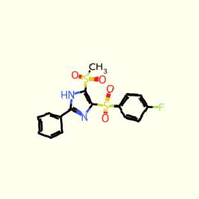 CS(=O)(=O)c1[nH]c(-c2ccccc2)nc1S(=O)(=O)c1ccc(F)cc1